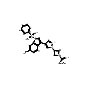 CNC(=O)N1CC(n2cc(-c3cn(S(=O)(=O)c4ccccc4)c4cc(F)ccc34)cn2)C1